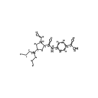 CCCN(CCC)C1CC(C(=O)Nc2ccc(C(=O)O)cc2)N(C=O)C1